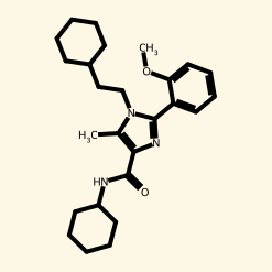 COc1ccccc1-c1nc(C(=O)NC2CCCCC2)c(C)n1CCC1CCCCC1